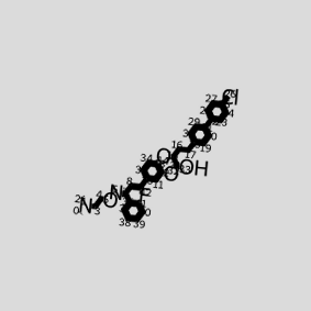 CN(C)CCO/N=C(/C=C/c1ccc(OC(CCc2ccc(-c3ccc(Cl)cc3)cc2)C(=O)O)cc1)c1ccccc1F